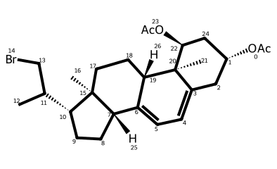 CC(=O)O[C@@H]1CC2=CC=C3[C@@H]4CC[C@H](C(C)CBr)[C@@]4(C)CC[C@@H]3[C@@]2(C)[C@@H](OC(C)=O)C1